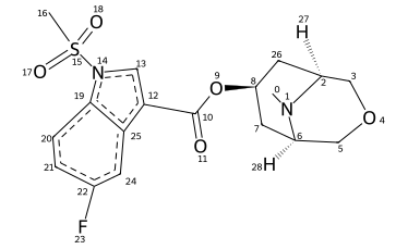 CN1[C@@H]2COC[C@H]1C[C@@H](OC(=O)c1cn(S(C)(=O)=O)c3ccc(F)cc13)C2